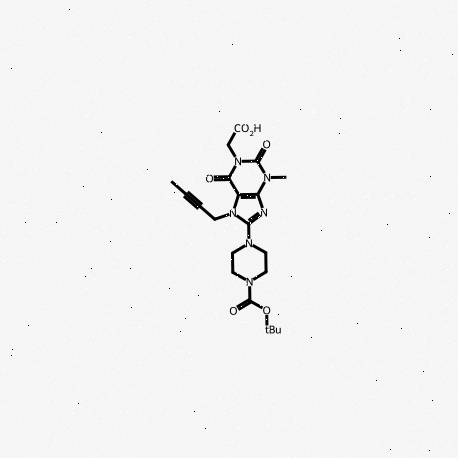 CC#CCn1c(N2CCN(C(=O)OC(C)(C)C)CC2)nc2c1c(=O)n(CC(=O)O)c(=O)n2C